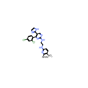 CC(=O)Nc1nc(NCCNc2ncc(-c3ncc[nH]3)c(-c3ccc(Cl)cc3Cl)n2)ccc1[N+](=O)[O-]